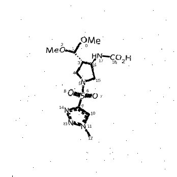 COC(OC)[C@H]1CN(S(=O)(=O)c2cn(C)nn2)C[C@@H]1NC(=O)O